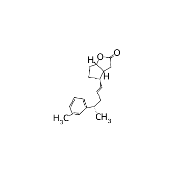 Cc1cccc([C@@H](C)C/C=C/[C@H]2CC[C@@H]3OC(=O)C[C@@H]32)c1